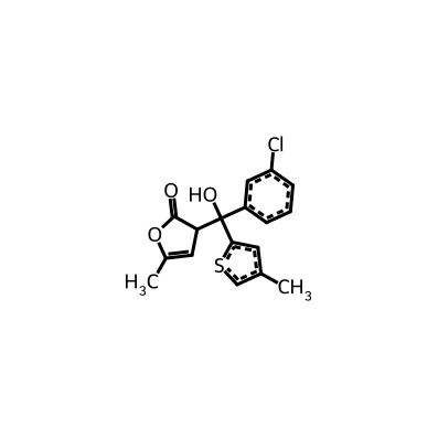 CC1=CC(C(O)(c2cccc(Cl)c2)c2cc(C)cs2)C(=O)O1